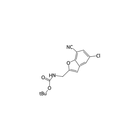 CC(C)(C)OC(=O)NCc1cc2cc(Cl)cc(C#N)c2o1